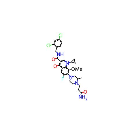 COc1c(N2CCN(CCC(N)=O)C(C)C2)c(F)cc2c(=O)c(C(=O)NCc3ccc(Cl)cc3Cl)cn(C3CC3)c12